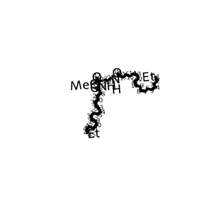 CC/C=C\C/C=C\C/C=C\C/C=C\C/C=C\CCCC(=O)NCCC[C@H](NC(=O)CCC/C=C\C/C=C\C/C=C\C/C=C\C/C=C\CC)C(=O)OC